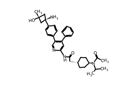 CC(=O)N(C(C)C)[C@H]1CC[C@H](CC(=O)Nc2cc(-c3ccccc3)c(-c3ccc([C@]4(N)C[C@](C)(O)C4)cc3)cn2)CC1